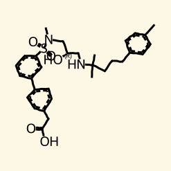 Cc1ccc(CCCC(C)(C)NC[C@@H](O)CN(C)S(=O)(=O)c2cccc(-c3ccc(CC(=O)O)cc3)c2)cc1